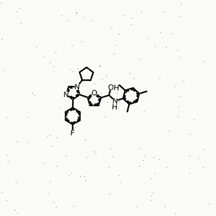 Cc1cc(C)c(NC(O)c2ccc(-c3c(-c4ccc(F)cc4)ncn3C3CCCC3)o2)c(C)c1